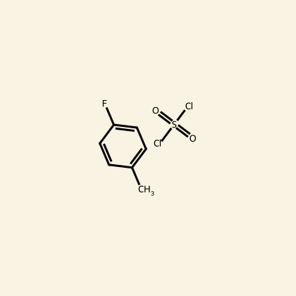 Cc1ccc(F)cc1.O=S(=O)(Cl)Cl